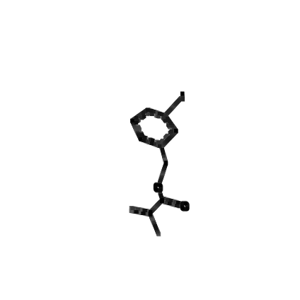 C=C(C)C(=O)OCc1cccc(I)c1